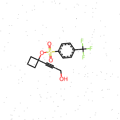 O=S(=O)(OC1(C#CCO)CCC1)c1ccc(C(F)(F)F)cc1